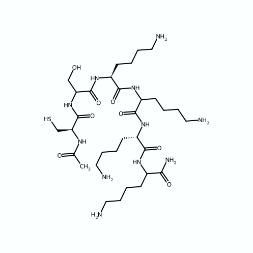 CC(=O)N[C@@H](CS)C(=O)NC(CO)C(=O)N[C@@H](CCCCN)C(=O)NC(CCCCN)C(=O)N[C@@H](CCCCN)C(=O)NC(CCCCN)C(N)=O